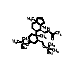 CC(C)(C)[Si](C)(C)OC[C@H]1CC(O[Si](C)(C)C(C)(C)C)CC[C@]1(C)[C@H]1CC[C@]2(C)C=CC[C@H]2[C@@H]1CNC(=O)C(F)(F)F